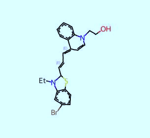 CCN1c2cc(Br)ccc2SC1/C=C/C=C1\C=CN(CCO)c2ccccc21